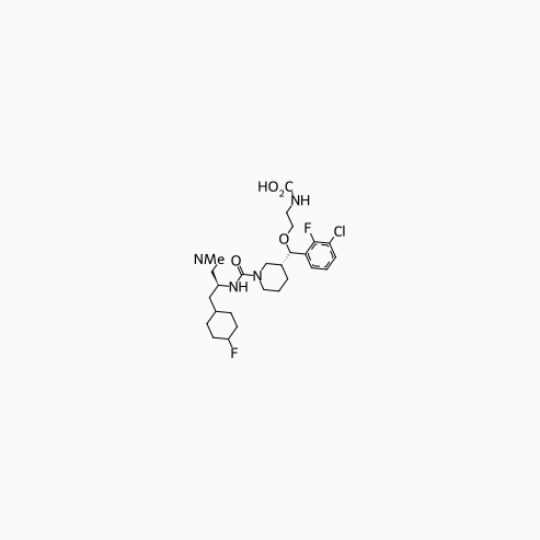 CNC[C@H](CC1CCC(F)CC1)NC(=O)N1CCC[C@@H](C(OCCNC(=O)O)c2cccc(Cl)c2F)C1